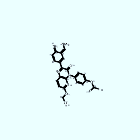 CN/C=C1/C=C(c2nc3ccc(OCC(F)(F)F)nc3n(-c3ccc(OC(F)F)cc3)c2=O)C=CC1=N